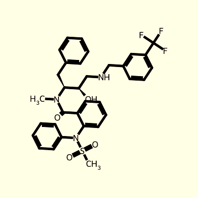 CN(C(=O)c1ccccc1N(c1ccccc1)S(C)(=O)=O)[C@@H](Cc1ccccc1)[C@H](O)CNCc1cccc(C(F)(F)F)c1